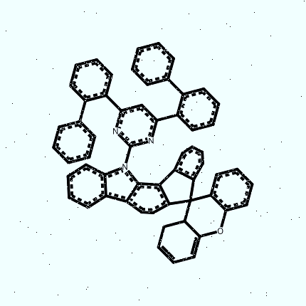 C1=CCC2C(=C1)Oc1ccccc1C21c2ccccc2-c2c1ccc1c3ccccc3n(-c3nc(-c4ccccc4-c4ccccc4)cc(-c4ccccc4-c4ccccc4)n3)c21